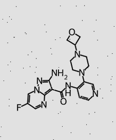 Nc1nn2cc(F)cnc2c1C(=O)Nc1ccncc1N1CCN(C2COC2)CC1